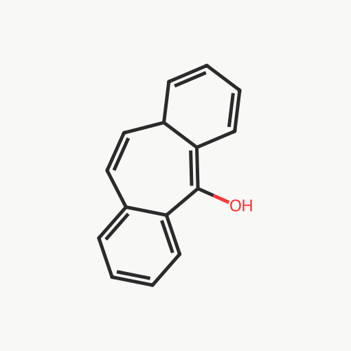 OC1=C2C=CC=CC2C=Cc2ccccc21